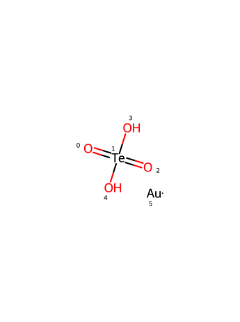 O=[Te](=O)(O)O.[Au]